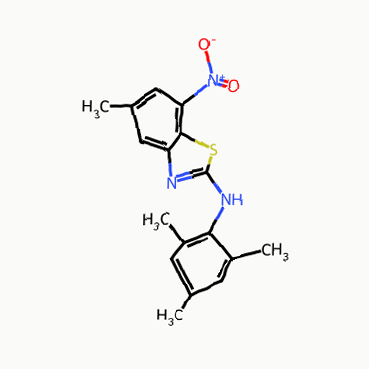 Cc1cc(C)c(Nc2nc3cc(C)cc([N+](=O)[O-])c3s2)c(C)c1